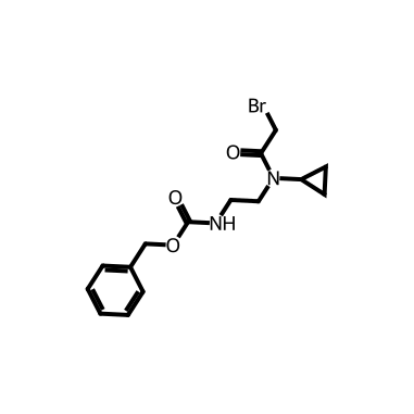 O=C(NCCN(C(=O)CBr)C1CC1)OCc1ccccc1